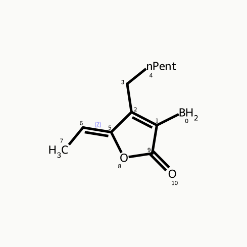 BC1=C(CCCCCC)/C(=C/C)OC1=O